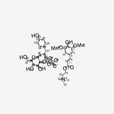 COc1cc(/C=C/C(=O)OCC[N+](C)(C)C)cc(OC)c1O.O=S(=O)([O-])O/N=C(\Cc1ccc(O)cc1)S[C@@H]1O[C@H](CO)[C@@H](O)[C@H](O)[C@H]1O